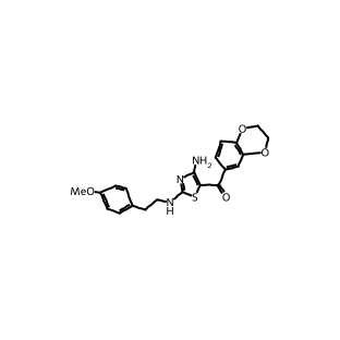 COc1ccc(CCNc2nc(N)c(C(=O)c3ccc4c(c3)OCCO4)s2)cc1